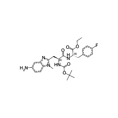 CCOC(=O)[C@H](Cc1ccc(F)cc1)NC(=O)[C@H](Cc1nc2cc(N)ccc2n1C)NC(=O)OC(C)(C)C